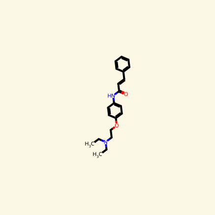 CCN(CC)CCOc1ccc(NC(=O)C=Cc2ccccc2)cc1